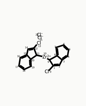 ClC1=Cc2ccccc2[CH]1[Zr+2][CH]1C(Cl)=Cc2ccccc21.[Cl-].[Cl-]